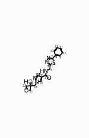 O=C(NCc1nnc(-c2ccccc2)s1)c1cn(CC2(O)COC2)nn1